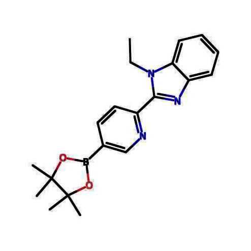 CCn1c(-c2ccc(B3OC(C)(C)C(C)(C)O3)cn2)nc2ccccc21